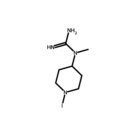 CN(C(=N)N)C1CCN(I)CC1